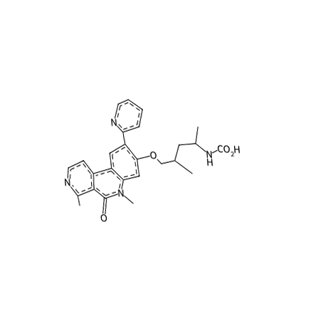 Cc1nccc2c1c(=O)n(C)c1cc(OCC(C)CC(C)NC(=O)O)c(-c3ccccn3)cc21